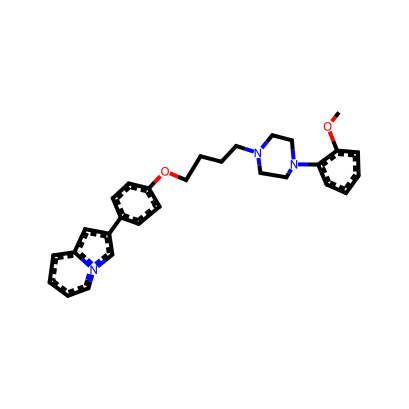 COc1ccccc1N1CCN(CCCCOc2ccc(-c3cc4ccccn4c3)cc2)CC1